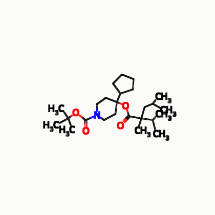 CC(C)CC(C)(C(=O)OC1(C2CCCC2)CCN(C(=O)OC(C)(C)C)CC1)C(C)C